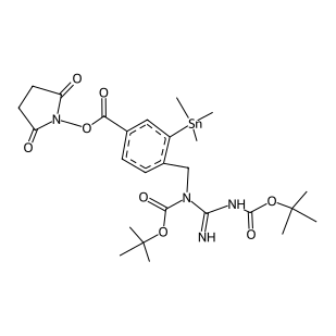 CC(C)(C)OC(=O)NC(=N)N(Cc1ccc(C(=O)ON2C(=O)CCC2=O)c[c]1[Sn]([CH3])([CH3])[CH3])C(=O)OC(C)(C)C